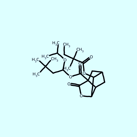 CCC(C)(C)C(=O)OC1C2CC3C1OC(=O)C3(C(=O)OC(CC(C)(C)C)OC(C)C)C2